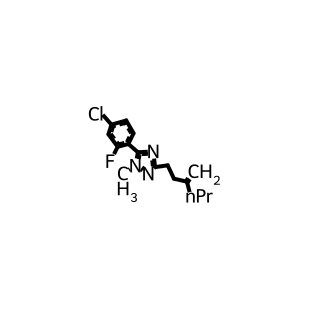 C=C(CCC)CCc1nc(-c2ccc(Cl)cc2F)n(C)n1